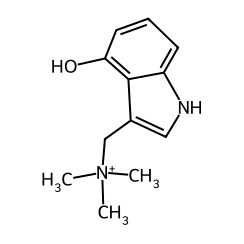 C[N+](C)(C)Cc1c[nH]c2cccc(O)c12